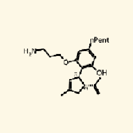 C=C(C)[C@@H]1CC(C)=C[C@H]1c1c(O)cc(CCCCC)cc1OCCCN